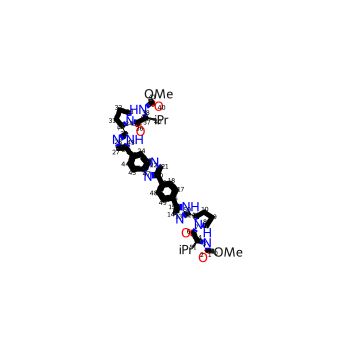 COC(=O)N[C@H](C(=O)N1CCC[C@H]1c1ncc(-c2ccc(-c3cnc4cc(-c5cnc([C@@H]6CCCN6C(=O)[C@@H](NC(=O)OC)C(C)C)[nH]5)ccc4n3)cc2)[nH]1)C(C)C